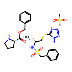 CS(C)(=O)=O.O=C(O)[C@H](CSc1nnn[nH]1)NS(=O)(=O)Cc1ccccc1.O=C(OCc1ccccc1)[C@@H]1CCCN1